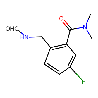 CN(C)C(=O)c1cc(F)ccc1CNC=O